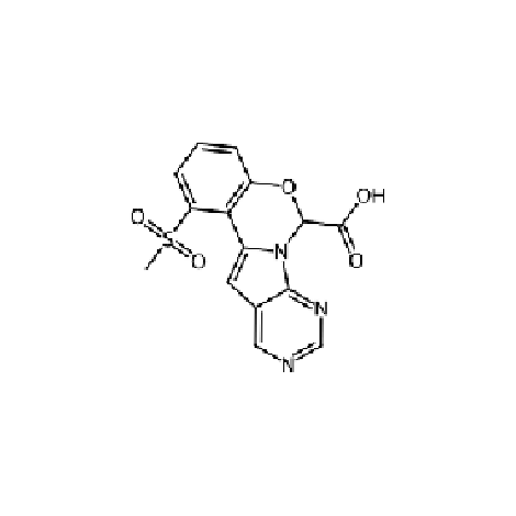 CS(=O)(=O)c1cccc2c1-c1cc3cncnc3n1C(C(=O)O)O2